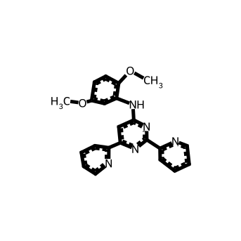 COc1ccc(OC)c(Nc2cc(-c3ccccn3)nc(-c3ccccn3)n2)c1